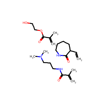 C=C(C)C(=O)NCCCN(C)C.C=C(C)C(=O)OCCO.C=CC1CCCCNC1=O